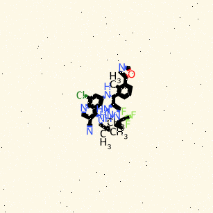 Cc1c(-c2cnco2)cccc1[C@H](Nc1cc(Cl)c2ncc(C#N)c(NCC(C)(C)C)c2c1)C1=CN(C2(C(F)(F)F)CC2)NN1